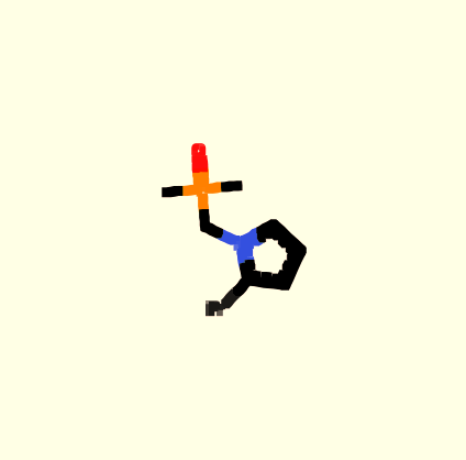 CC(C)c1cccn1CP(C)(C)=O